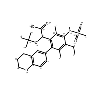 CCc1c(C)c(-c2ccc3c(c2)CCCO3)c(C(OC(C)(C)C)C(=O)O)c(C)c1NS(C)(=O)=O